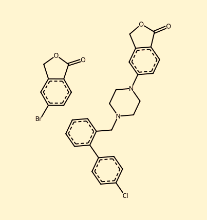 O=C1OCc2cc(Br)ccc21.O=C1OCc2cc(N3CCN(Cc4ccccc4-c4ccc(Cl)cc4)CC3)ccc21